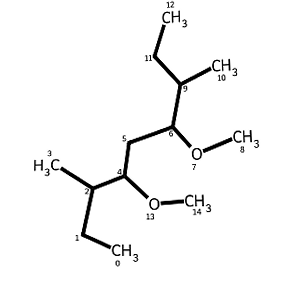 CCC(C)C(CC(OC)C(C)CC)OC